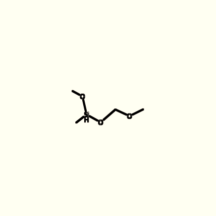 COCO[SiH](C)OC